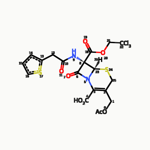 CC(=O)OCC1=C(C(=O)O)N2C(=O)[C@@](NC(=O)Cc3cccs3)(C(=O)OCC(Cl)(Cl)Cl)[C@H]2SC1